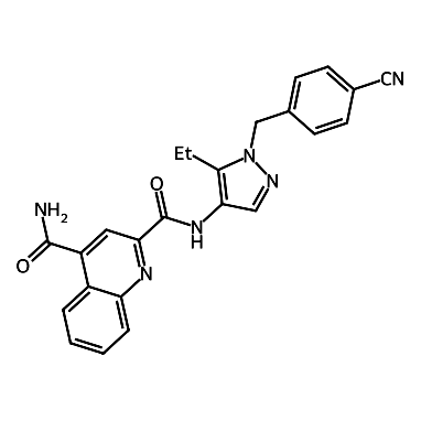 CCc1c(NC(=O)c2cc(C(N)=O)c3ccccc3n2)cnn1Cc1ccc(C#N)cc1